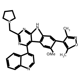 COc1cc2c(cc1-c1c(C)noc1C)[nH]c1nc(CN3CCCC3)nc(-c3ccnc4ccccc34)c12